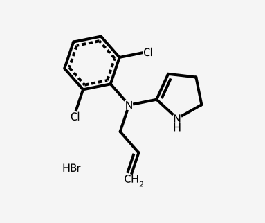 Br.C=CCN(C1=CCCN1)c1c(Cl)cccc1Cl